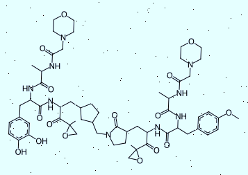 COc1ccc(CC(NC(=O)C(C)NC(=O)CN2CCOCC2)C(=O)NC(CC2CCN(CC3CCC(CC(NC(=O)C(Cc4ccc(O)c(O)c4)NC(=O)C(C)NC(=O)CN4CCOCC4)C(=O)C4(C)CO4)C3)C2=O)C(=O)C2(C)CO2)cc1